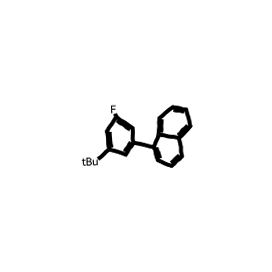 CC(C)(C)c1cc(F)cc(-c2cccc3ccccc23)c1